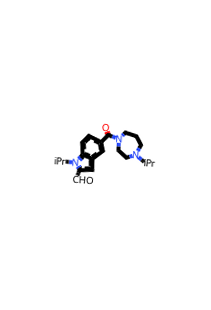 CC(C)N1CCCN(C(=O)c2ccc3c(c2)cc(C=O)n3C(C)C)CC1